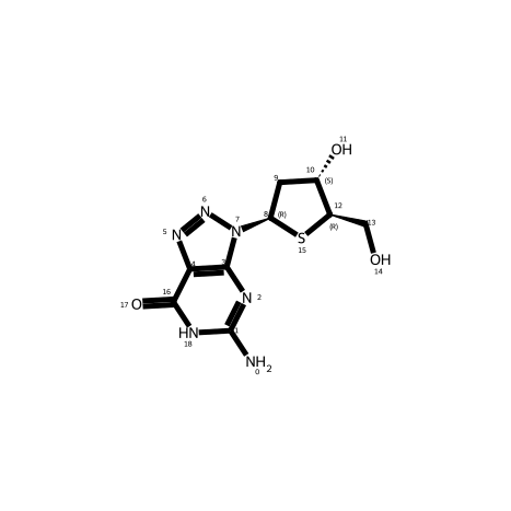 Nc1nc2c(nnn2[C@H]2C[C@H](O)[C@@H](CO)S2)c(=O)[nH]1